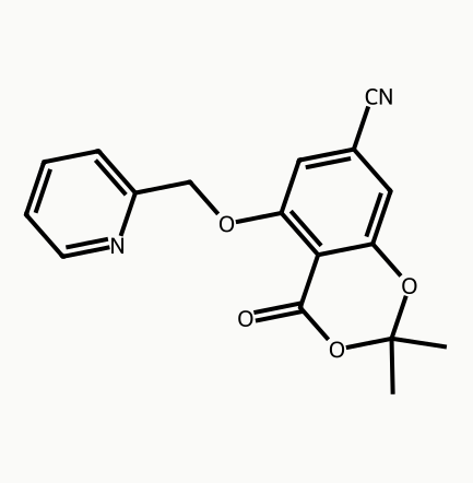 CC1(C)OC(=O)c2c(OCc3ccccn3)cc(C#N)cc2O1